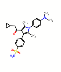 Cc1c(C(=O)CC2CC2)c(-c2ccc(S(N)(=O)=O)cc2)c(C)n1-c1ccc(N(C)C)cc1